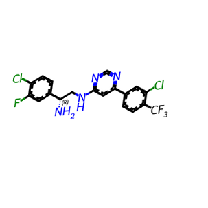 N[C@@H](CNc1cc(-c2ccc(C(F)(F)F)c(Cl)c2)ncn1)c1ccc(Cl)c(F)c1